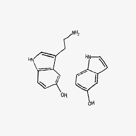 NCCc1c[nH]c2ccc(O)cc12.Oc1ccc2[nH]ccc2c1